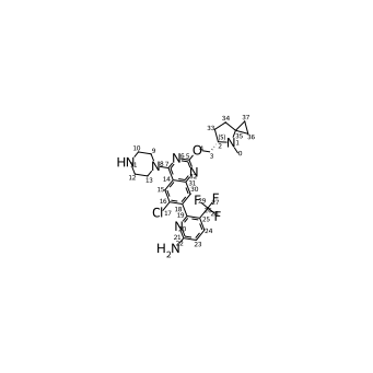 CN1[C@H](COc2nc(N3CCNCC3)c3cc(Cl)c(-c4nc(N)ccc4C(F)(F)F)cc3n2)CCC12CC2